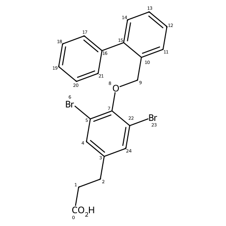 O=C(O)CCc1cc(Br)c(OCc2ccccc2-c2ccccc2)c(Br)c1